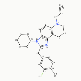 C=CCN1CCCc2c1ccc1c2nc(Cc2ccc(CC)c(F)c2)n1C1CCCCC1